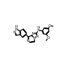 COc1cc(Nc2nc3c(-c4ccc5[nH]ncc5c4)nccn3n2)cc(OC)c1